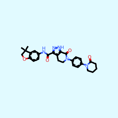 CC1(C)COc2ccc(NC(=O)c3n[nH]c4c3CCN(c3ccc(N5CCCCC5=O)cc3)C4=O)cc21